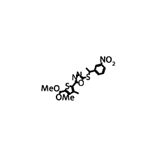 COC(OC)c1cc(C)c(-c2nnc(SC(C)c3cccc([N+](=O)[O-])c3)o2)s1